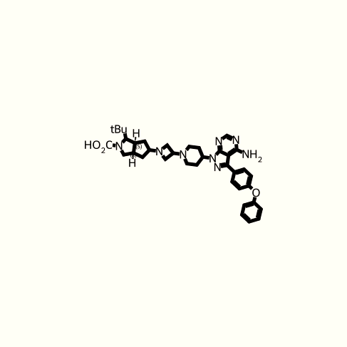 CC(C)(C)C1[C@H]2CC(N3CC(N4CCC(n5nc(-c6ccc(Oc7ccccc7)cc6)c6c(N)ncnc65)CC4)C3)C[C@H]2CN1C(=O)O